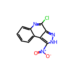 O=[N+]([O-])c1[nH]nc2c(Cl)nc3ccccc3c12